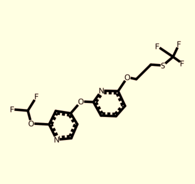 FC(F)Oc1cc(Oc2cccc(OCCSC(F)(F)F)n2)ccn1